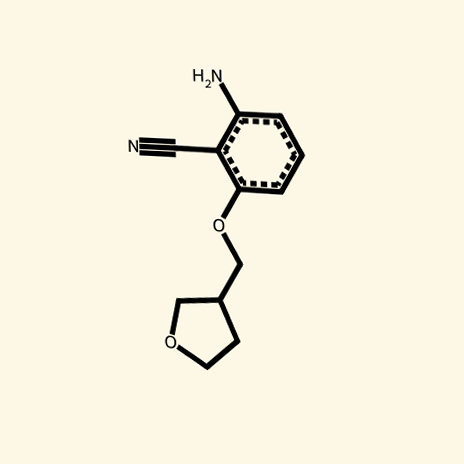 N#Cc1c(N)cccc1OCC1CCOC1